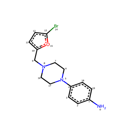 Nc1ccc(N2CCN(Cc3ccc(Br)o3)CC2)cc1